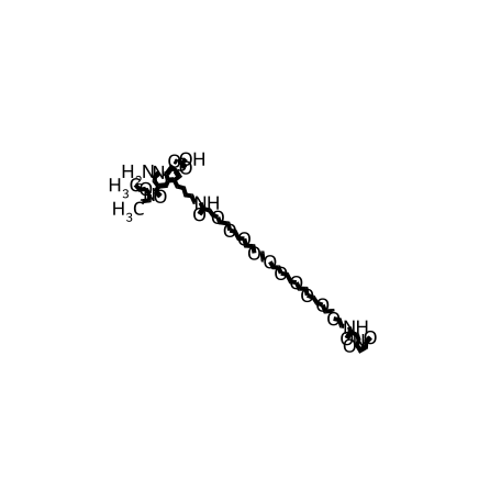 CCCN(OCC)C(=O)C1=Cc2c(CCCCCNC(=O)CCOCCOCCOCCOCCOCCOCCOCCOCCOCCOCCNC(=O)CN3C(=O)C=CC3=O)cc(S(=O)(=O)O)cc2N=C(N)C1